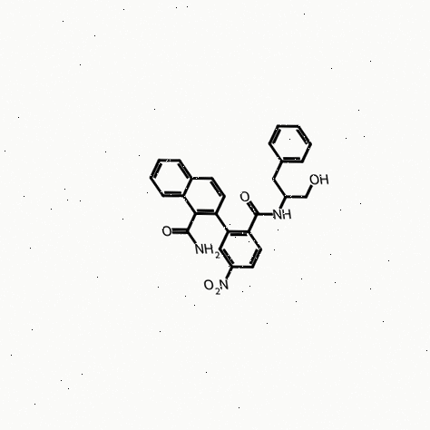 NC(=O)c1c(-c2cc([N+](=O)[O-])ccc2C(=O)NC(CO)Cc2ccccc2)ccc2ccccc12